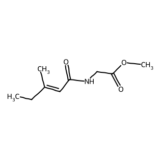 CC/C(C)=C/C(=O)NCC(=O)OC